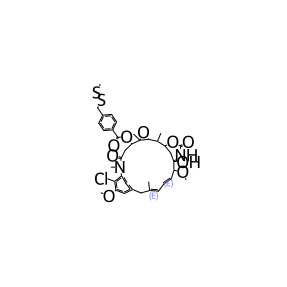 COc1cc2cc(c1Cl)N(C)C(=O)CC(OC(=O)c1ccc(CSSC)cc1)C1(C)OC1C(C)C1CC(O)(NC(=O)O1)C(OC)/C=C/C=C(\C)C2